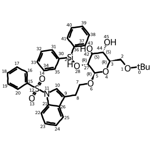 CC(C)(C)OC[C@H]1O[C@@H](OCCc2cn(S(=O)(=O)c3ccccc3)c3ccccc23)[C@H](O[SiH](c2ccccc2)c2ccccc2)[C@@H](O)[C@@H]1O